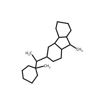 CC1C2CCCCC2C2CC(C(C)C3(C)CCCCC3)CCC12